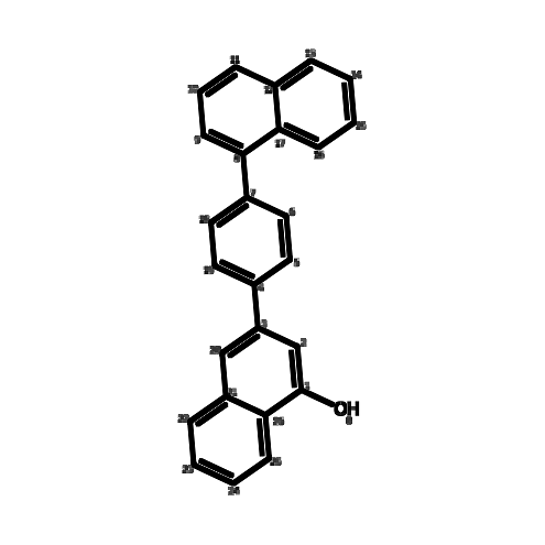 Oc1cc(-c2ccc(-c3cccc4ccccc34)cc2)cc2ccccc12